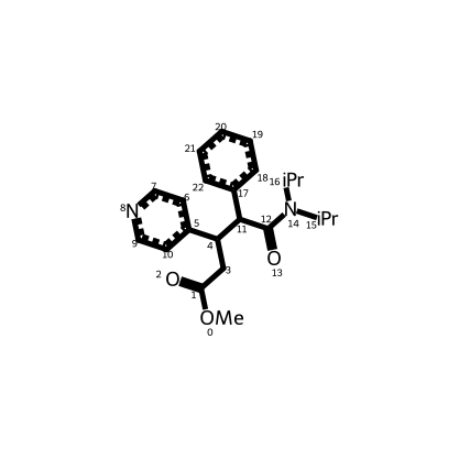 COC(=O)CC(c1ccncc1)C(C(=O)N(C(C)C)C(C)C)c1ccccc1